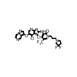 Cn1c(Nc2cc(C(F)(F)F)cn(CCCN3CCC(F)(F)C3)c2=O)nc2ncc(Oc3cnn4ccncc34)c(Cl)c21